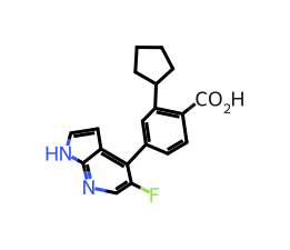 O=C(O)c1ccc(-c2c(F)cnc3[nH]ccc23)cc1C1CCCC1